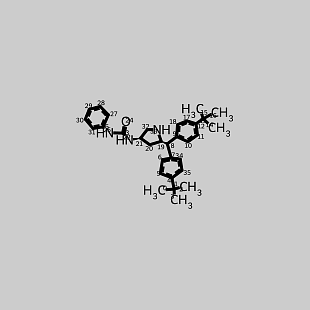 CC(C)(C)c1ccc(C(c2ccc(C(C)(C)C)cc2)[C@H]2C[C@@H](NC(=O)Nc3ccccc3)CN2)cc1